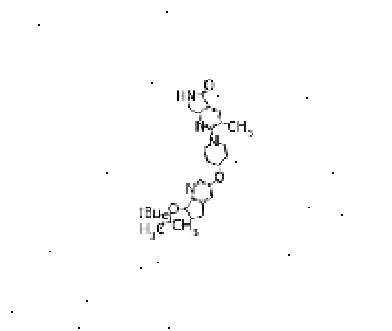 Cc1cc2c(nc1N1CCC(Oc3cnc4c(c3)CCC4O[Si](C)(C)C(C)(C)C)CC1)CNC2=O